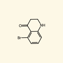 O=C1CCNc2cccc(Br)c21